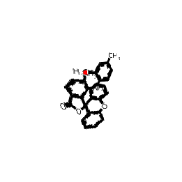 Cc1ccc(Nc2c(C)ccc3c2C2(OC3=O)c3ccccc3Oc3ccccc32)c(C)c1